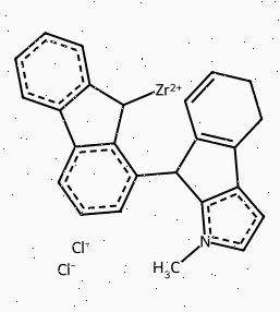 Cn1ccc2c1C(c1cccc3c1[CH]([Zr+2])c1ccccc1-3)C1=C2CCC=C1.[Cl-].[Cl-]